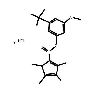 Cl.Cl.[CH2]=[Ti]([O]c1cc(OC)cc(C(C)(C)C)c1)[C]1=C(C)C(C)=C(C)C1C